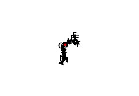 O=C(N1CC2(CC(n3cnc(C4CC4)n3)C2)C1)N1CC2(CN(Cc3ccc(F)cc3C(F)(F)F)C2)C1